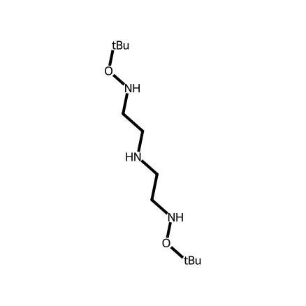 CC(C)(C)ONCCNCCNOC(C)(C)C